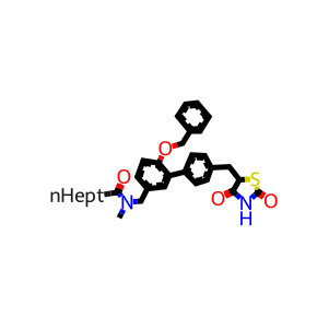 CCCCCCCC(=O)N(C)Cc1ccc(OCc2ccccc2)c(-c2ccc(CC3SC(=O)NC3=O)cc2)c1